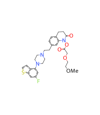 COCCOCC(=O)ON1C(=O)CCc2ccc(CCN3CCN(c4cc(F)cc5sccc45)CC3)cc21